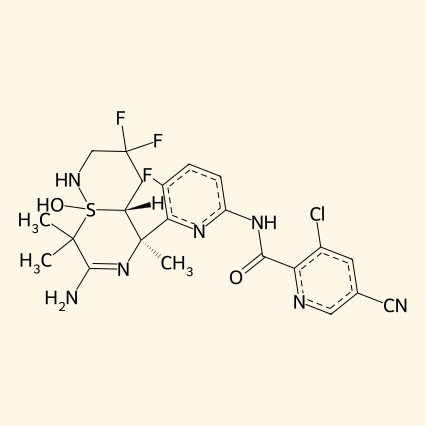 CC1(C)C(N)=N[C@](C)(c2nc(NC(=O)c3ncc(C#N)cc3Cl)ccc2F)[C@H]2CC(F)(F)CNS21O